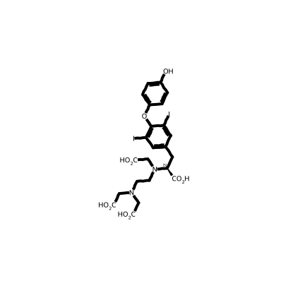 O=C(O)CN(CCN(CC(=O)O)[C@@H](Cc1cc(I)c(Oc2ccc(O)cc2)c(I)c1)C(=O)O)CC(=O)O